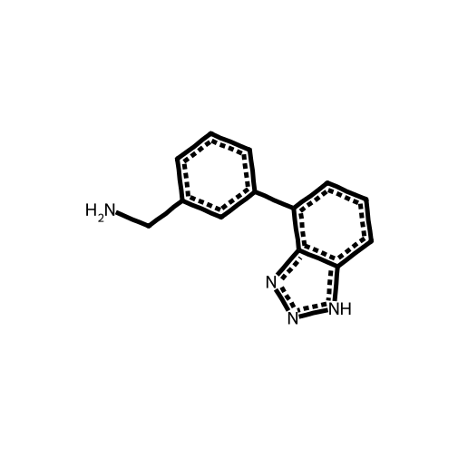 NCc1cccc(-c2cccc3[nH]nnc23)c1